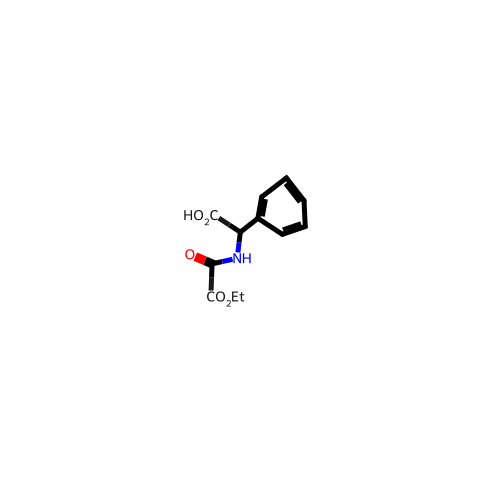 CCOC(=O)C(=O)NC(C(=O)O)c1ccccc1